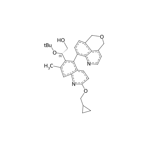 Cc1cc2nc(OCC3CC3)ccc2c(-c2ccc3c4c(ccnc24)COC3)c1[C@@H](CO)OC(C)(C)C